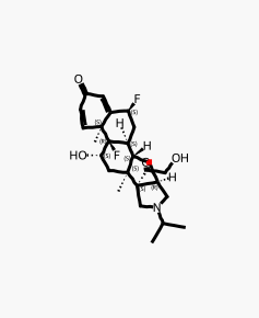 CC(C)N1C[C@@H]2C[C@H]3[C@@H]4C[C@H](F)C5=CC(=O)C=C[C@]5(C)[C@@]4(F)[C@@H](O)C[C@]3(C)[C@]2(C(=O)CO)C1